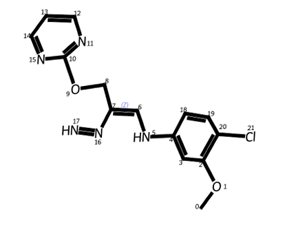 COc1cc(N/C=C(/COc2ncccn2)N=N)ccc1Cl